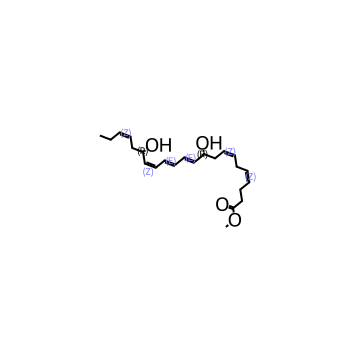 CC/C=C\C[C@@H](O)\C=C/C=C/C=C/[C@H](O)C/C=C\C/C=C\CCC(=O)OC